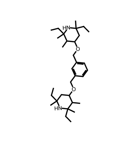 CCC1(C)CC(OCc2cccc(COC3CC(C)(CC)NC(C)(CC)C3C)c2)C(C)C(C)(CC)N1